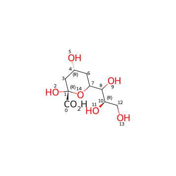 O=C(O)[C@@]1(O)C[C@H](O)CC(C(O)[C@H](O)CO)O1